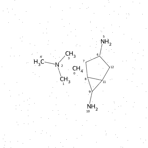 C.CN(C)C.NC1CC2C(N)C2C1